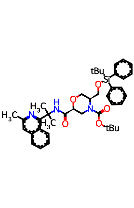 Cc1cc2ccccc2c(C(C)(C)NC(=O)[C@@H]2CN(C(=O)OC(C)(C)C)[C@H](CO[Si](c3ccccc3)(c3ccccc3)C(C)(C)C)CO2)n1